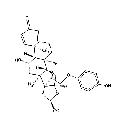 CCC[C@@H]1O[C@@H]2C[C@H]3[C@@H]4CCC5=CC(=O)C=C[C@]5(C)[C@H]4[C@@H](O)C[C@]3(C)[C@]2(C(=O)COc2ccc(O)cc2)O1